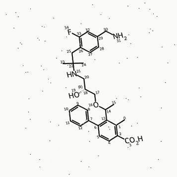 Cc1c(C(=O)O)ccc(-c2ccccc2)c1C(C)OC[C@H](O)CNC(C)(C)Cc1ccc(CN)cc1F